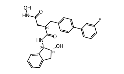 O=C(C[C@@H](Cc1ccc(-c2cccc(F)c2)cc1)C(=O)N[C@H]1c2ccccc2C[C@H]1O)NO